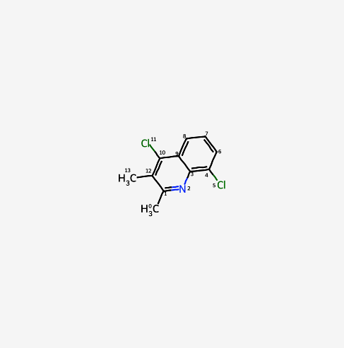 Cc1nc2c(Cl)cccc2c(Cl)c1C